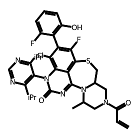 C=CC(=O)N1CC(C)N2c3nc(=O)n(-c4c(C(C)C)ncnc4C(C)C)c4c(Cl)c(-c5c(O)cccc5F)c(F)c(c34)SCC2C1